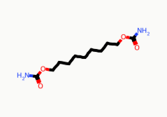 NC(=O)OCCCCCCCCCOC(N)=O